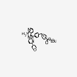 CC(C)(C)OC(=O)N1CCN(Cc2ccc(-n3c(-c4cccnc4N)nc4ccc(C5=CCOCC5)nc43)cc2)CC1